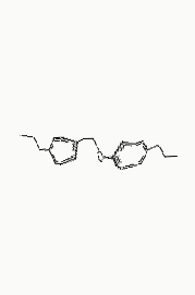 CCCc1ccc(COc2ccc(CCC)cc2)cc1